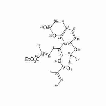 C/C=C(\C)C(=O)OC1C(C/C=C(\C)C(=O)OCC)c2c(ccc3ccc(=O)oc23)OC1(C)C